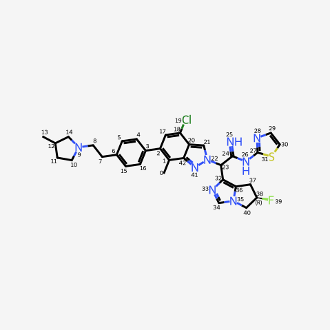 Cc1c(-c2ccc(CCN3CCC(C)C3)cc2)cc(Cl)c2cn(C(C(=N)Nc3nccs3)c3ncn4c3C[C@@H](F)C4)nc12